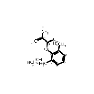 Cc1cccc(C)c1OC(C)C(N)=O.Cl.Cl